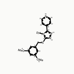 CCn1c(SCc2cc(OC)cc(OC)c2)nnc1-c1ccncc1